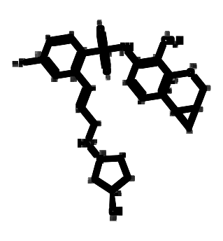 O=C(O)c1c(NS(=O)(=O)c2ccc(F)cc2C=CCNN2CC[C@@H](O)C2)ccc2c1OCC1CC21